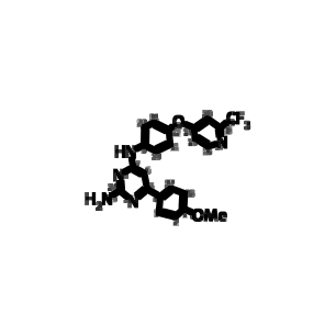 COc1ccc(-c2cc(Nc3ccc(Oc4ccnc(C(F)(F)F)c4)cc3)nc(N)n2)cc1